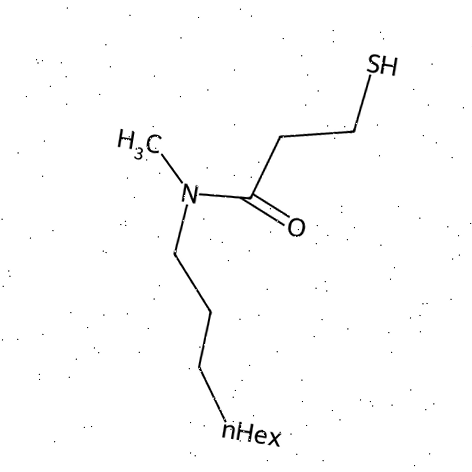 CCCCCCCCCN(C)C(=O)CCS